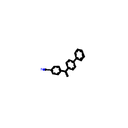 C=C(c1ccc(C#N)cc1)c1ccc(-c2ccccc2)cc1